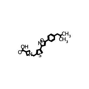 CC(C)Cc1ccc(-c2cc(-c3csc(CN4CC(C(=O)O)C4)c3)no2)cc1